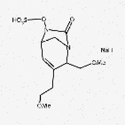 COCCC1=CC2CN(C(=O)N2OS(=O)(=O)O)C1COC.[NaH]